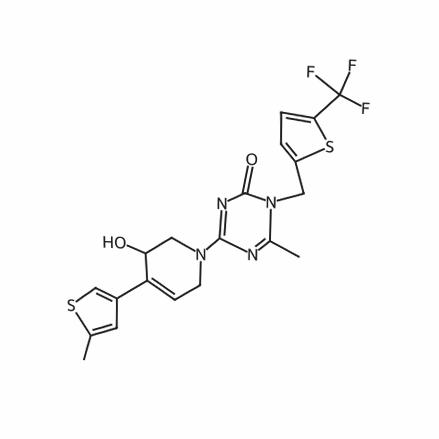 Cc1cc(C2=CCN(c3nc(C)n(Cc4ccc(C(F)(F)F)s4)c(=O)n3)CC2O)cs1